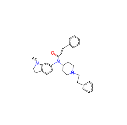 CC(=O)N1CCc2ccc(N(C(=O)/C=C/c3ccccc3)C3CCN(CCc4ccccc4)CC3)cc21